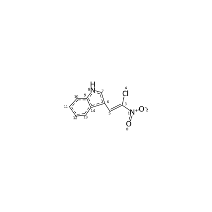 O=[N+]([O-])C(Cl)=Cc1c[nH]c2ccccc12